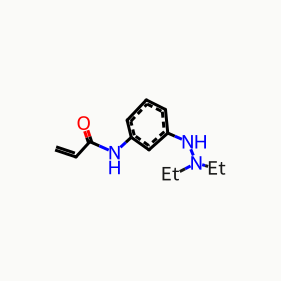 C=CC(=O)Nc1cccc(NN(CC)CC)c1